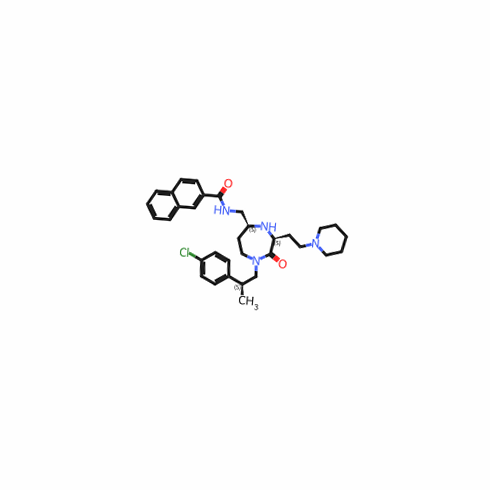 C[C@H](CN1CC[C@@H](CNC(=O)c2ccc3ccccc3c2)N[C@@H](CCN2CCCCC2)C1=O)c1ccc(Cl)cc1